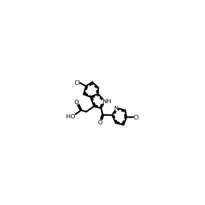 O=C(O)Cc1c(C(=O)c2ccc(Cl)cn2)[nH]c2ccc(Cl)cc12